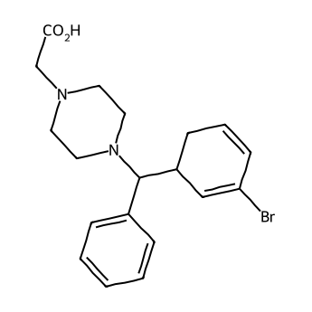 O=C(O)CN1CCN(C(c2ccccc2)C2C=C(Br)C=CC2)CC1